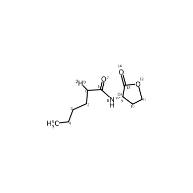 [2H]C(CCCC)C(=O)N[C@H]1CCOC1=O